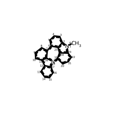 Cn1c2cccc3c4cccc5c6ccccc6n(c6cccc1c6c32)c45